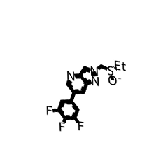 CC[S+]([O-])Cn1cc2ncc(-c3cc(F)c(F)c(F)c3)cc2n1